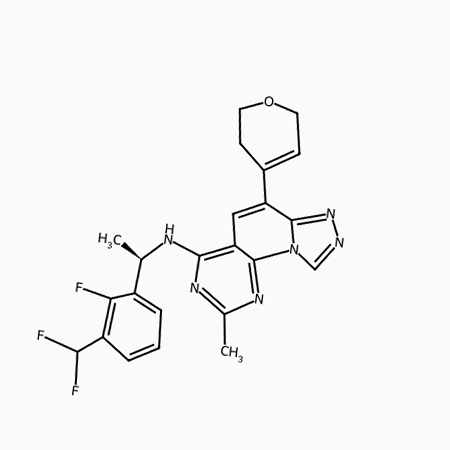 Cc1nc(N[C@H](C)c2cccc(C(F)F)c2F)c2cc(C3=CCOCC3)c3nncn3c2n1